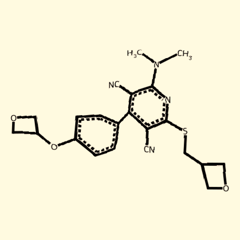 CN(C)c1nc(SCC2COC2)c(C#N)c(-c2ccc(OC3COC3)cc2)c1C#N